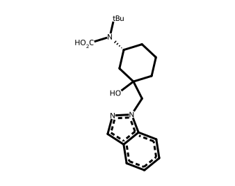 CC(C)(C)N(C(=O)O)[C@@H]1CCCC(O)(Cn2ncc3ccccc32)C1